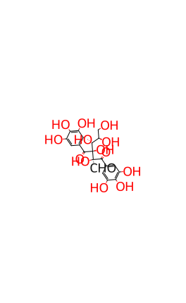 O=C[C@@](O)(C(=O)c1cc(O)c(O)c(O)c1)[C@](O)(C(=O)c1cc(O)c(O)c(O)c1)[C@H](O)[C@H](O)CO